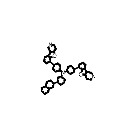 c1cc(-c2ccc3ccccc3c2)cc(N(c2ccc(-c3cccc4c3oc3ccncc34)cc2)c2ccc(-c3cccc4c3oc3ccncc34)cc2)c1